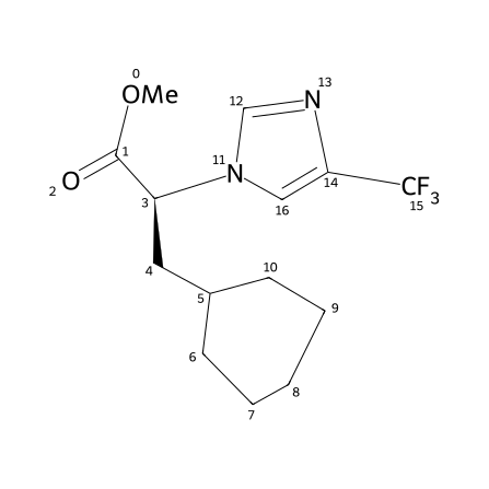 COC(=O)[C@H](CC1CCCCC1)n1cnc(C(F)(F)F)c1